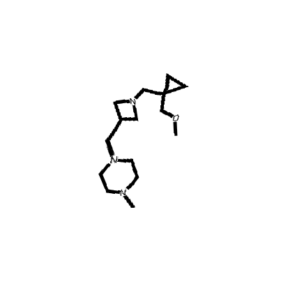 COCC1(CN2CC(CN3CCN(C)CC3)C2)CC1